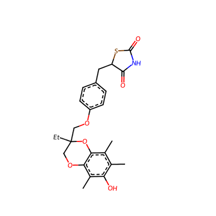 CCC1(COc2ccc(CC3SC(=O)NC3=O)cc2)COc2c(C)c(O)c(C)c(C)c2O1